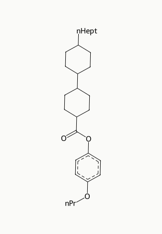 CCCCCCCC1CCC(C2CCC(C(=O)Oc3ccc(OCCC)cc3)CC2)CC1